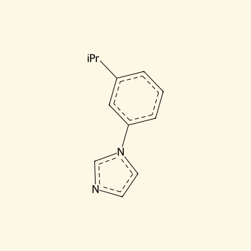 CC(C)c1cccc(-n2ccnc2)c1